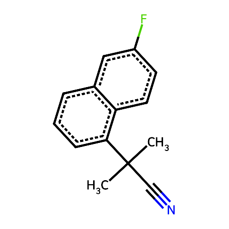 CC(C)(C#N)c1cccc2cc(F)ccc12